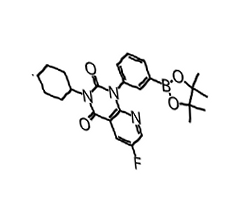 CC1(C)OB(c2cccc(-n3c(=O)n(C4CC[CH]CC4)c(=O)c4cc(F)cnc43)c2)OC1(C)C